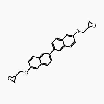 c1cc2cc(-c3ccc4cc(OCC5CO5)ccc4c3)ccc2cc1OCC1CO1